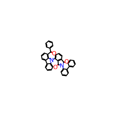 O=C(c1ccccc1)c1cccc2c3ccccc3n(-c3cccc4c3C(=O)N(c3ccccc3-c3ccccc3)C4=O)c12